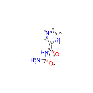 NC(=O)NC(=O)c1cnccn1